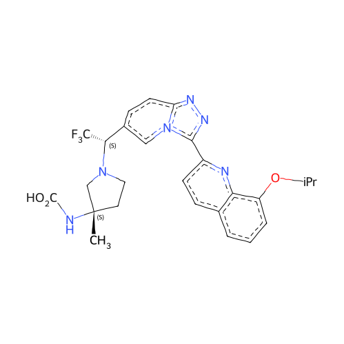 CC(C)Oc1cccc2ccc(-c3nnc4ccc([C@H](N5CC[C@](C)(NC(=O)O)C5)C(F)(F)F)cn34)nc12